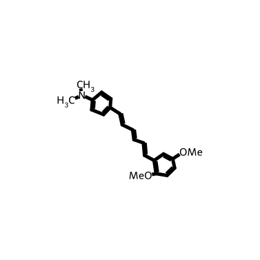 COc1ccc(OC)c(C=CC=CC=Cc2ccc(N(C)C)cc2)c1